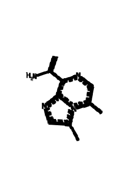 C=C(N)c1ncc(C)n2c(C)cnc12